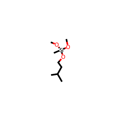 CO[Si](C)(OC)OCCC(C)C